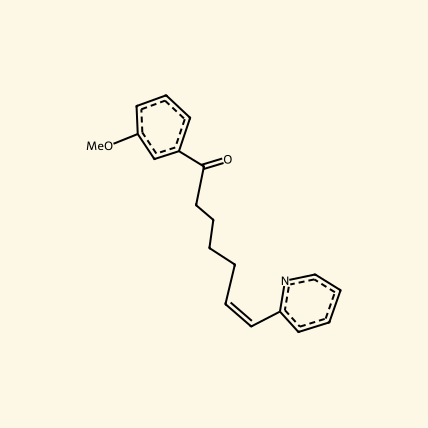 COc1cccc(C(=O)CCCC/C=C\c2ccccn2)c1